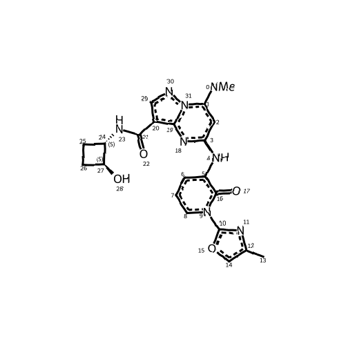 CNc1cc(Nc2cccn(-c3nc(C)co3)c2=O)nc2c(C(=O)N[C@H]3CC[C@@H]3O)cnn12